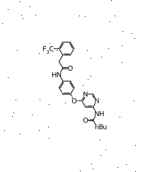 CCCCC(=O)Nc1cc(Oc2ccc(NC(=O)Cc3ccccc3C(F)(F)F)cc2)ncn1